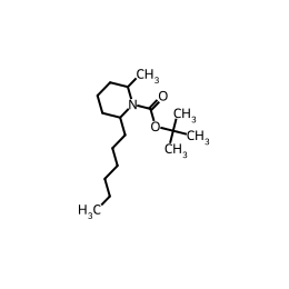 CCCCCCC1CCCC(C)N1C(=O)OC(C)(C)C